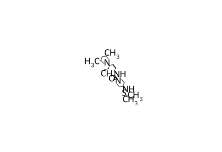 C=CCC(/C=C\CNC(=O)N1CCC(NSC(C)C)CC1)N1CC(C)C[C@@H](C)C1